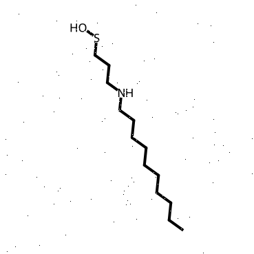 CCCCCCCCCCNCCCSO